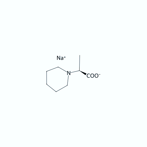 C[C@@H](C(=O)[O-])N1CCCCC1.[Na+]